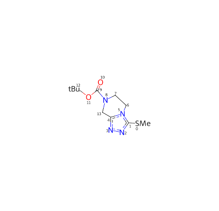 CSc1nnc2n1CCN(C(=O)OC(C)(C)C)C2